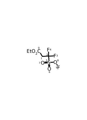 CCOC(=O)CC(F)(F)S(=O)(=O)OF